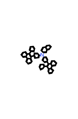 c1ccc(-c2c(-c3ccc(N(c4ccc(-c5c(-c6ccccc6)c6ccccc6c6ccccc56)cc4)c4ccc5ccccc5c4)cc3)c3ccccc3c3ccccc23)cc1